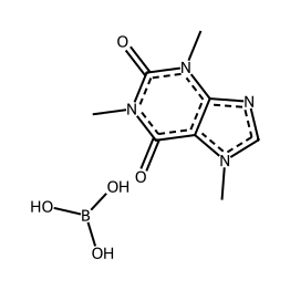 Cn1c(=O)c2c(ncn2C)n(C)c1=O.OB(O)O